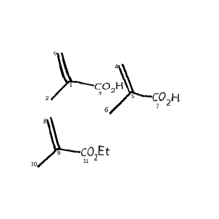 C=C(C)C(=O)O.C=C(C)C(=O)O.C=C(C)C(=O)OCC